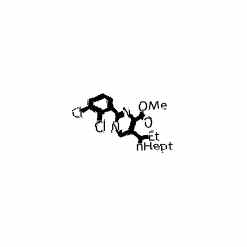 CCCCCCCC(CC)c1cnc(-c2cccc(Cl)c2Cl)nc1C(=O)OC